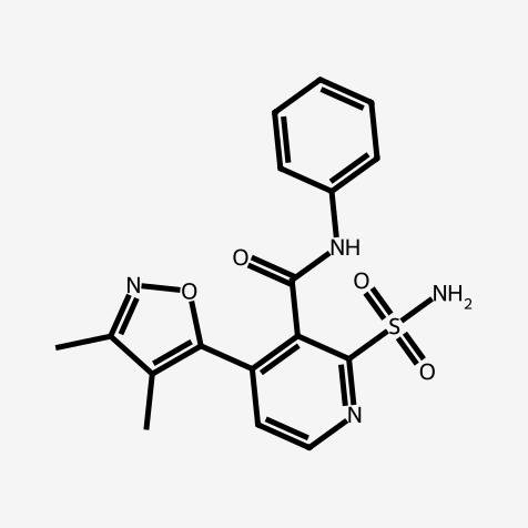 Cc1noc(-c2ccnc(S(N)(=O)=O)c2C(=O)Nc2ccccc2)c1C